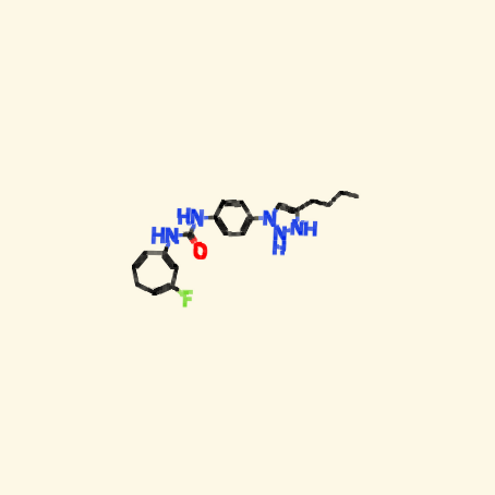 CCCCC1=CN(c2ccc(NC(=O)NC3=CC(F)=CCC=C3)cc2)NN1